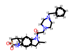 CC1Cc2cc3c(cc2N1C(=O)CN1CCN(Cc2ccccc2)CC1)C1CN3S(=O)(=O)C1